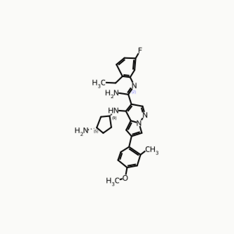 CCc1ccc(F)cc1/N=C(\N)c1cnn2cc(-c3ccc(OC)cc3C)cc2c1N[C@@H]1CC[C@H](N)C1